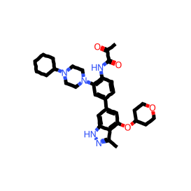 CC(=O)C(=O)Nc1ccc(-c2cc(OC3CCOCC3)c3c(C)n[nH]c3c2)cc1N1CCN(C2CCCCC2)CC1